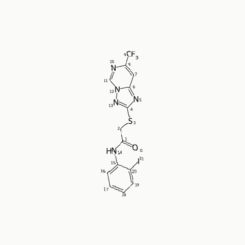 O=C(CSc1nc2cc(C(F)(F)F)ncn2n1)Nc1ccccc1I